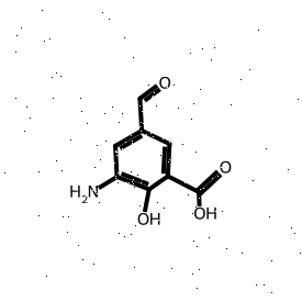 Nc1cc(C=O)cc(C(=O)O)c1O